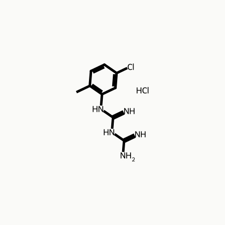 Cc1ccc(Cl)cc1NC(=N)NC(=N)N.Cl